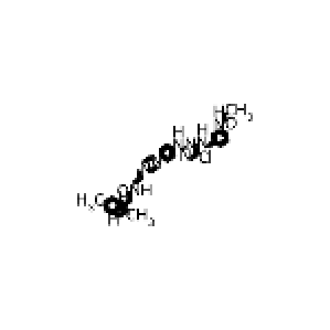 C=CC(=O)Nc1cccc(CNc2nc(Nc3ccc(N4CCN(CCCNC(=O)CC5[C@H]6C[C@@H](C)C[C@H](C6)C[C@H]5C)CC4)cc3)ncc2Cl)c1